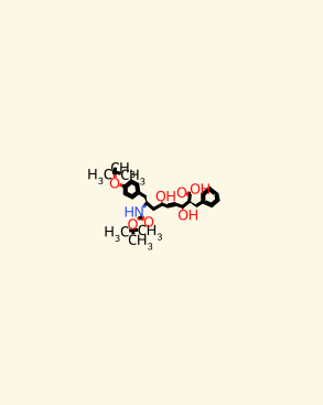 CC(C)(C)OC(=O)N[C@@H](Cc1ccc(OC(C)(C)C)cc1)C[C@H](O)/C=C/[C@@H](O)[C@H](Cc1ccccc1)C(=O)O